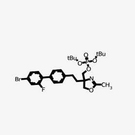 CC1=NC(CCc2ccc(-c3ccc(Br)cc3F)cc2)(COP(=O)(OC(C)(C)C)OC(C)(C)C)CO1